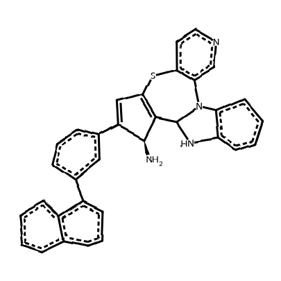 N[C@H]1C(c2cccc(-c3cccc4ccccc34)c2)=CC2=C1C1Nc3ccccc3N1c1cnccc1S2